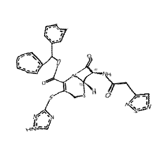 O=C(Cc1cnsn1)N[C@@H]1C(=O)N2C(C(=O)OC(c3ccccc3)c3ccccc3)=C(Sc3nc[nH]n3)CS[C@@H]12